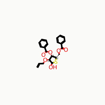 C=CCO[C@@H]1C(O)S[C@@H](COC(=O)c2ccccc2)[C@H]1OC(=O)c1ccccc1